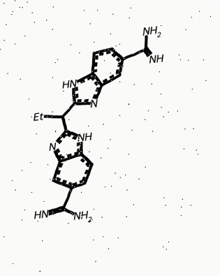 CCC(c1nc2cc(C(=N)N)ccc2[nH]1)c1nc2cc(C(=N)N)ccc2[nH]1